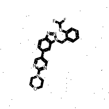 FC(F)Oc1ccccc1Cn1nnc2ccc(-c3cnc(N4CCOCC4)nc3)cc21